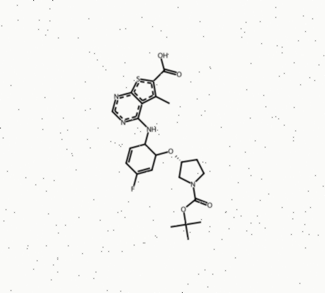 Cc1c(C(=O)O)sc2ncnc(NC3C=CC(F)=CC3O[C@@H]3CCN(C(=O)OC(C)(C)C)C3)c12